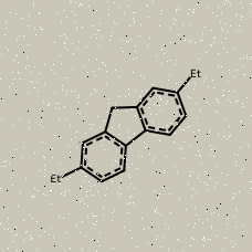 CCc1[c]c2c(cc1)-c1ccc(CC)cc1C2